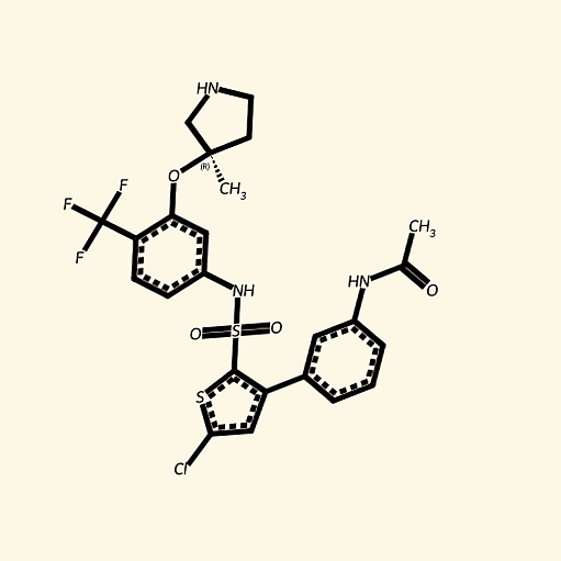 CC(=O)Nc1cccc(-c2cc(Cl)sc2S(=O)(=O)Nc2ccc(C(F)(F)F)c(O[C@]3(C)CCNC3)c2)c1